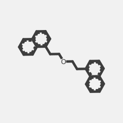 c1ccc2c(CCOCCc3cccc4ccccc34)cccc2c1